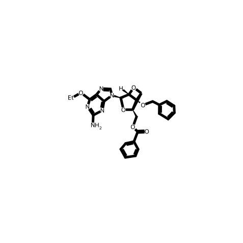 CCOc1nc(N)nc2c1ncn2[C@@H]1O[C@@]2(COC(=O)c3ccccc3)C3O[C@@H]1[C@@]32OCc1ccccc1